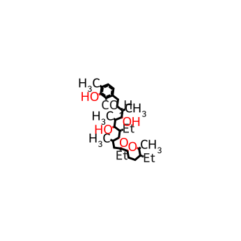 CCC1CCC(C2(CC)CC(C)C(C(CC)C(O)C(C)C(O)C(C)CCc3ccc(C)c(O)c3C(=O)O)O2)OC1C